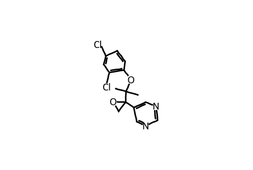 CC(C)(Oc1ccc(Cl)cc1Cl)C1(c2cncnc2)CO1